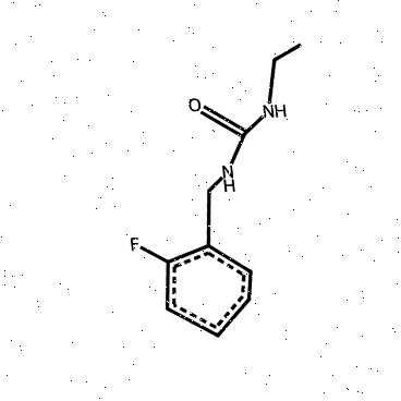 CCNC(=O)NCc1ccccc1F